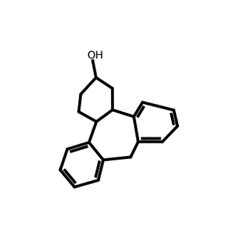 OC1CCC2c3ccccc3Cc3ccccc3C2C1